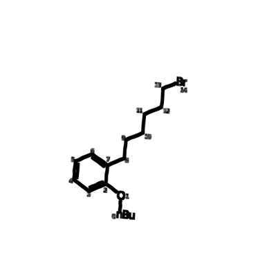 CCCCOc1ccccc1CCCCCCBr